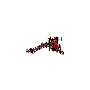 CCCOCCOCCNC(=O)[C@H](C)NC(=O)[C@H](Cc1ccccc1)NC(=O)[C@H](CS)NC(=O)[C@H](CC(=O)O)NC(=O)CNC(=O)[C@H](CCCNC(=N)N)NC(=O)[C@H](CS)NC(=O)[C@H](CCCCNC(=O)COCC(=O)NCCOCCOCCOCCOCCOCCNC(=O)CO/N=C/c1ccc(F)cc1)NC(=O)CSC